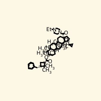 CCN1CCN(C(=O)[C@]23CC[C@@H](C4(C)CC4)[C@@H]2[C@H]2CC[C@@H]4[C@@]5(C)CC[C@H](OC(=O)[C@H]6C[C@@H](Cc7ccccc7)C6(C)C)C(C)(C)[C@@H]5CC[C@@]4(C)[C@]2(C)CC3)CC1